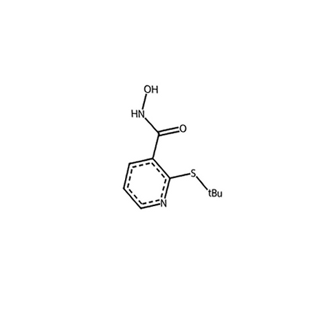 CC(C)(C)Sc1ncccc1C(=O)NO